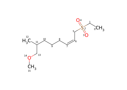 CCS(=O)(=O)C/C=C\CCCC(C)COC